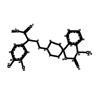 COC(=O)C(CCN1CCC2(CC1)OC(=O)N(C)c1ccccc12)c1ccc(Cl)c(Cl)c1